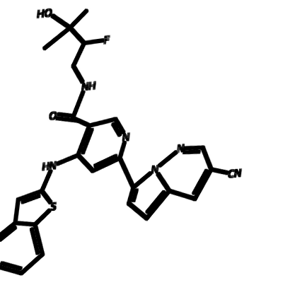 CC(C)(O)C(F)CNC(=O)c1cnc(-c2ccc3cc(C#N)cnn23)cc1Nc1cc2ccccc2s1